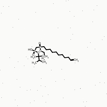 C=CCCCCCCCCCP(=O)(CP(=O)(O)OC(C)(C)C(C)C)OCC